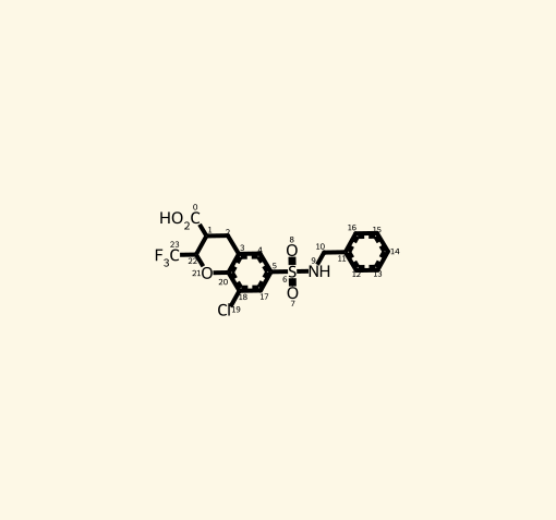 O=C(O)C1Cc2cc(S(=O)(=O)NCc3ccccc3)cc(Cl)c2OC1C(F)(F)F